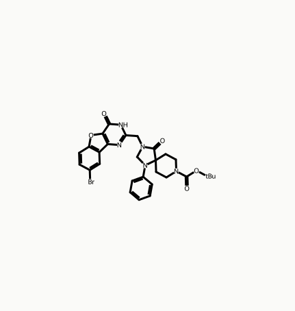 CC(C)(C)OC(=O)N1CCC2(CC1)C(=O)N(Cc1nc3c(oc4ccc(Br)cc43)c(=O)[nH]1)CN2c1ccccc1